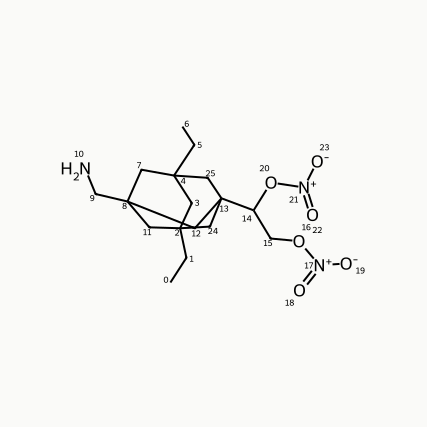 CCC12CC3(CC)CC(CN)(C1)CC(C(CO[N+](=O)[O-])O[N+](=O)[O-])(C2)C3